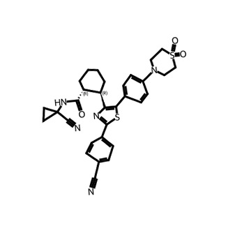 N#Cc1ccc(-c2nc([C@@H]3CCCC[C@H]3C(=O)NC3(C#N)CC3)c(-c3ccc(N4CCS(=O)(=O)CC4)cc3)s2)cc1